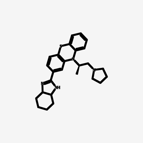 C[C@H](CN1CCCC1)N1c2ccccc2Sc2ccc(C3=NC4CCCCC4N3)cc21